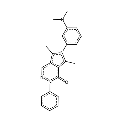 Cc1c2cnn(-c3ccccc3)c(=O)c2c(C)n1-c1cccc(N(C)C)c1